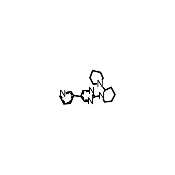 c1cncc(-c2cnc(N3CCCCC3N3CCCCC3)nc2)c1